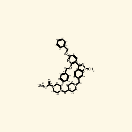 Cn1nc(-c2ccc(OCc3ccccc3)nc2OCc2ccccc2)c2ccc(CN3CCC(CN4CCN(C(=O)OC(C)(C)C)CC4)CC3)cc21